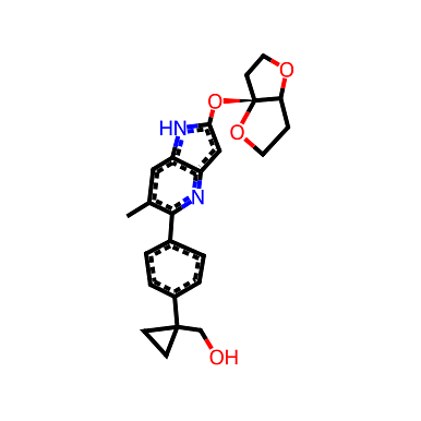 Cc1cc2[nH]c(O[C@@]34CCOC3CCO4)cc2nc1-c1ccc(C2(CO)CC2)cc1